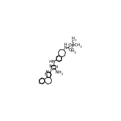 CC(C)(C)OC(=O)N[C@H]1CCc2ccc(Nc3nc(N)n(-c4cc5c(nn4)-c4ccccc4CCC5)n3)cc2CC1